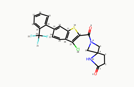 O=C1CCC2(CN(C(=O)c3sc4cc(-c5ccccc5C(F)(F)F)ccc4c3Cl)C2)N1